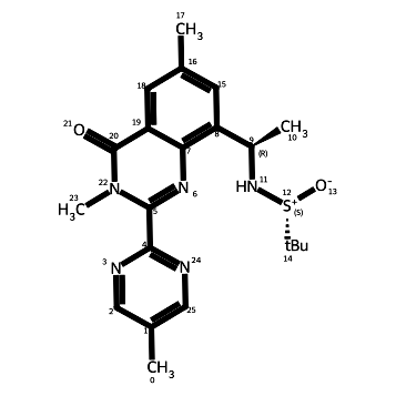 Cc1cnc(-c2nc3c([C@@H](C)N[S@+]([O-])C(C)(C)C)cc(C)cc3c(=O)n2C)nc1